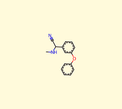 CNC(C#N)c1cccc(Oc2ccccc2)c1